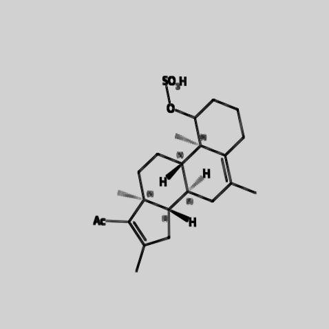 CC(=O)C1=C(C)C[C@H]2[C@@H]3CC(C)=C4CCCC(OS(=O)(=O)O)[C@]4(C)[C@H]3CC[C@]12C